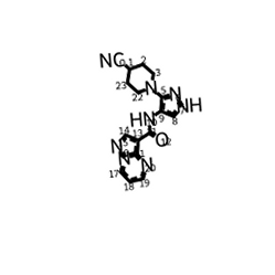 N#CC1CCN(c2n[nH]cc2NC(=O)c2cnn3cccnc23)CC1